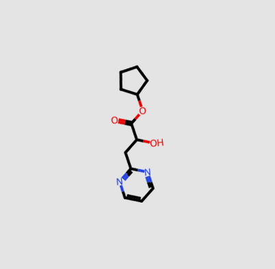 O=C(OC1CCCC1)C(O)Cc1ncccn1